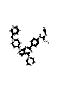 N#C/N=C(/N)Nc1ccc(-c2nc(N3CCOCC3)c3cnn(C4CCN(Cc5cccnc5)CC4)c3n2)cc1